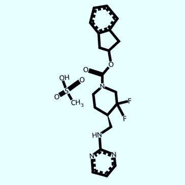 CS(=O)(=O)O.O=C(OC1Cc2ccccc2C1)N1CC[C@H](CNc2ncccn2)C(F)(F)C1